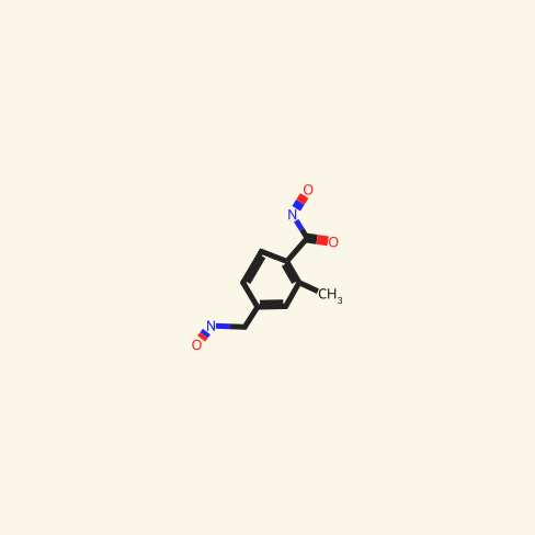 Cc1cc(CN=O)ccc1C(=O)N=O